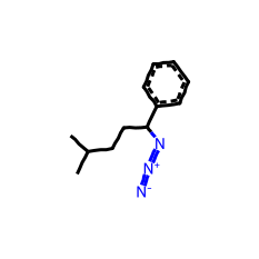 CC(C)CCC(N=[N+]=[N-])c1ccccc1